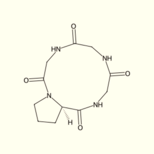 O=C1CNC(=O)CNC(=O)[C@H]2CCCN2C(=O)CN1